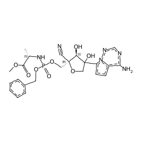 COC(=O)[C@H](C)NP(=O)(OCc1ccccc1)OC[C@@]1(C#N)OCC(O)(c2ccc3c(N)ncnn23)[C@@H]1O